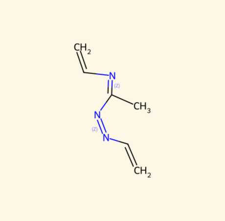 C=C/N=N\C(C)=N/C=C